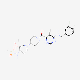 CO[C@H]1CN(C2CCN(C(=O)c3ncnc(NCc4ccc(Cl)c(Cl)c4)c3C)CC2)CC[C@H]1NS(C)(=O)=O